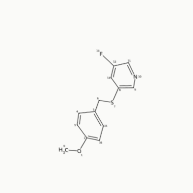 COc1ccc(CSc2cncc(F)c2)cc1